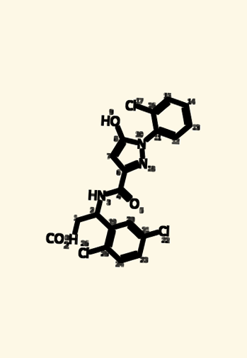 O=C(O)CC(NC(=O)c1cc(O)n(-c2ccccc2Cl)n1)c1cc(Cl)ccc1Cl